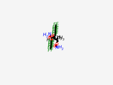 CC(CCOC(N)=O)CC(C)(C)C(CC(F)(F)C(F)(F)C(F)(F)C(F)(F)C(F)(F)C(F)F)(CC(F)(F)C(F)(F)C(F)(F)C(F)(F)C(F)(F)C(F)F)OC(N)=O